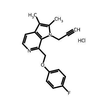 C#CCn1c(C)c(C)c2ccnc(COc3ccc(F)cc3)c21.Cl